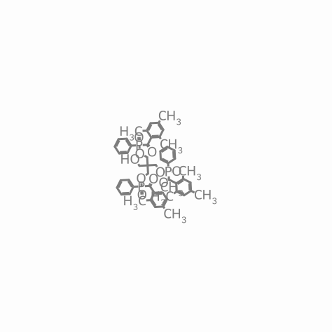 Cc1cc(C)c(C(=O)P(=O)(OCC(CO)(COP(=O)(C(=O)c2c(C)cc(C)cc2C)c2ccccc2)COP(=O)(C(=O)c2c(C)cc(C)cc2C)c2ccccc2)c2ccccc2)c(C)c1